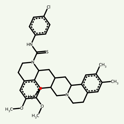 CCC1CN2CCc3cc(C)c(C)cc3C2CC1CC1c2cc(OC)c(OC)cc2CCN1C(=S)Nc1ccc(Cl)cc1